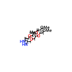 COCCOCCOCC[NH-].COCCOCCOCC[NH-].[Mg+2]